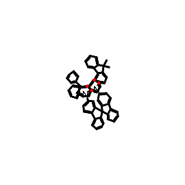 CC1(C)c2ccccc2-c2cc(N(c3cccc(-c4ccccc4)c3)c3ccc4c(c3)C3(c5ccccc5-c5ccc(N(c6ccccc6)c6ccccc6)cc53)c3ccccc3-4)ccc21